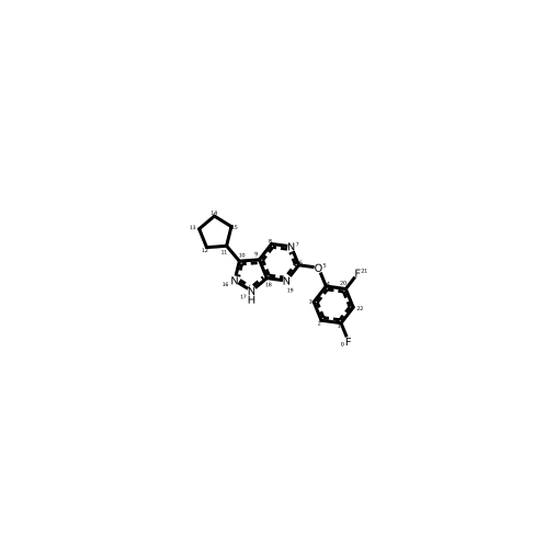 Fc1ccc(Oc2ncc3c(C4CCCC4)n[nH]c3n2)c(F)c1